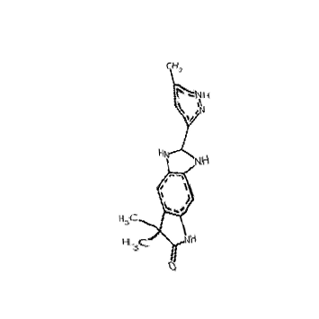 Cc1cc(C2Nc3cc4c(cc3N2)C(C)(C)C(=O)N4)n[nH]1